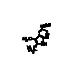 CSc1cnc2[nH]c(C)c(C)c2c1